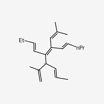 C=C(C)[C](C=CC)C(C=CCC)=C(C=CCCC)C=C(C)C